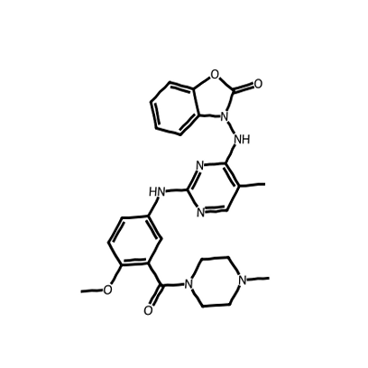 COc1ccc(Nc2ncc(C)c(Nn3c(=O)oc4ccccc43)n2)cc1C(=O)N1CCN(C)CC1